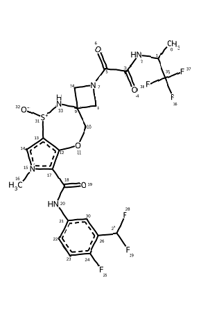 CC(NC(=O)C(=O)N1CC2(COc3c(cn(C)c3C(=O)Nc3ccc(F)c(C(F)F)c3)[S+]([O-])N2)C1)C(F)(F)F